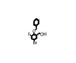 OCc1cc(Br)cc(F)c1OCc1ccccc1